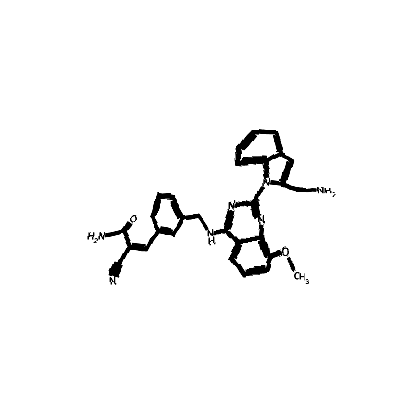 COc1cccc2c(NCc3cccc(C=C(C#N)C(N)=O)c3)nc(-n3c(CN)cc4ccccc43)nc12